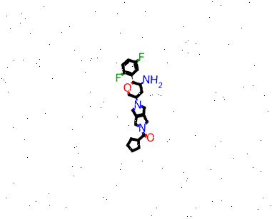 N[C@H]1C[C@@H](N2CC3=C(CN(C(=O)C4CCCC4)C3)C2)CO[C@@H]1c1cc(F)ccc1F